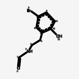 O=CNCCc1cc(Br)ccc1O